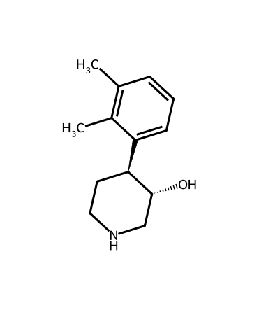 Cc1cccc([C@@H]2CCNC[C@H]2O)c1C